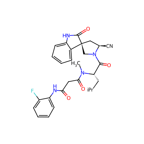 CC(C)C[C@@H](C(=O)N1C[C@]2(C[C@H]1C#N)C(=O)Nc1ccccc12)N(C)C(=O)CC(=O)Nc1ccccc1F